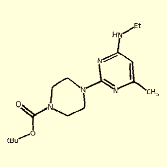 CCNc1cc(C)nc(N2CCN(C(=O)OC(C)(C)C)CC2)n1